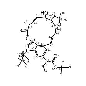 CCN(C(=O)OC(C)(C)C)c1cc2c(c(O[Si](C)(C)C(C)(C)C)c1)C(=O)O[C@@H](C)[C@H](C)/C=C\C(O)[C@H]1OC(C)(C)O[C@H]1C/C=C/2